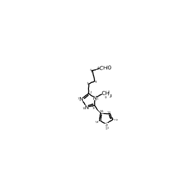 Cn1c(CCCC=O)nnc1-c1ccsc1